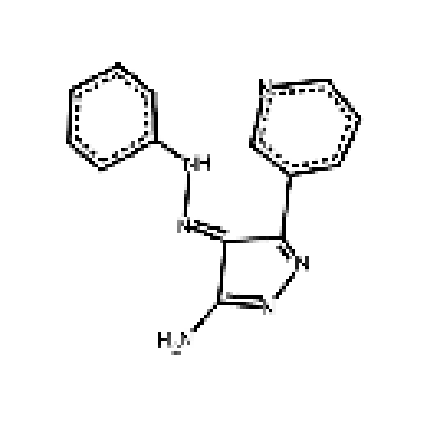 NC1=NN=C(c2cccnc2)/C1=N\Nc1ccccc1